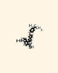 CC(C)c1ccc(SN2CCC3(C2)CC2(C3)OB(O)c3cnc4[nH]ccc4c32)cc1